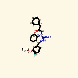 COc1cc(CNC(=N)N(CC(=O)Cc2ccccc2)C2CCCCC2)ccc1F